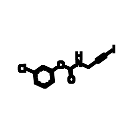 O=C(NCC#CI)Oc1cccc(Cl)c1